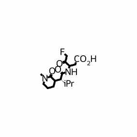 CC(C)[C@@H](C(=O)NC(CC(=O)O)C(=O)CF)C1CCCN(C)C1=O